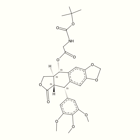 COc1cc([C@H]2c3cc4c(cc3[C@@H](OC(=O)CNC(=O)OC(C)(C)C)[C@@H]3COC(=O)[C@@H]23)OCO4)cc(OC)c1OC